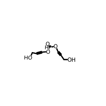 O=[PH](OC#CCO)OC#CCO